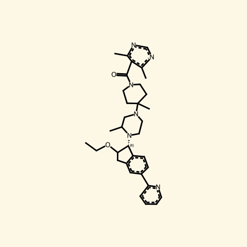 CCOC1Cc2cc(-c3ccccn3)ccc2[C@H]1N1CCN(C2(C)CCN(C(=O)c3c(C)ncnc3C)CC2)CC1C